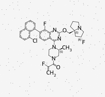 C=C(F)C(=O)N1CCN(c2nc(OC[C@@]34CCCN3C[C@H](F)C4)nc3c(F)c(-c4cccc5cccc(Cl)c45)ccc23)[C@@H](C)C1